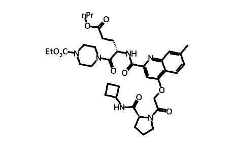 CCCOC(=O)CC[C@H](NC(=O)c1cc(OCC(=O)N2CCC[C@H]2C(=O)NC2CCC2)c2ccc(C)cc2n1)C(=O)N1CCN(C(=O)OCC)CC1